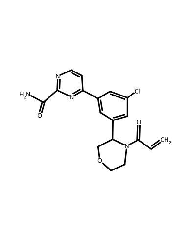 C=CC(=O)N1CCOCC1c1cc(Cl)cc(-c2ccnc(C(N)=O)n2)c1